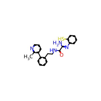 Cc1ncccc1-c1ccccc1CCNC(=O)/C(N)=N/c1ccccc1S